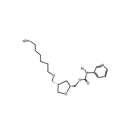 CCCCCCCCCCCCCCCCOC[C@H]1CO[C@H](COC(=O)N(C(C)=O)c2cccnc2)C1